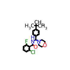 CC(C)(C)c1ccc(C(NC(=O)c2c(F)cccc2Cl)N2CCOCC2)cc1